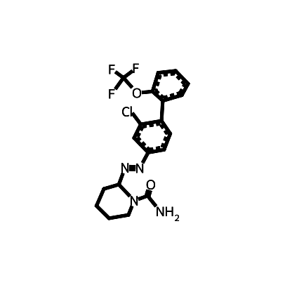 NC(=O)N1CCCCC1/N=N/c1ccc(-c2ccccc2OC(F)(F)F)c(Cl)c1